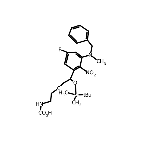 CN(Cc1ccccc1)c1cc(F)cc(C(CCCCNC(=O)O)O[Si](C)(C)C(C)(C)C)c1[N+](=O)[O-]